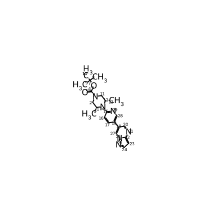 C[C@H]1CN(C(=O)OC(C)(C)C)C[C@H](C)N1c1ccc(-c2cnc3ccnn3c2)cn1